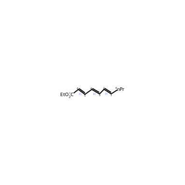 CCC/C=C/C=C/C=C/C(=O)OCC